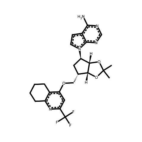 CC1(C)O[C@@H]2[C@H](COc3cc(C(F)(F)F)nc4c3CCCC4)C[C@@H](n3ccc4c(N)ncnc43)[C@@H]2O1